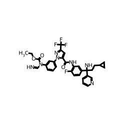 CCOC(=O)N(C=N)c1cccc(-n2nc(C(F)(F)F)cc2C(=O)Nc2cc(C(N)(CCC3CC3)c3cccnc3)ccc2F)c1